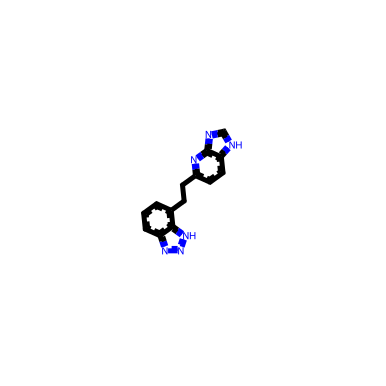 c1cc(CCc2ccc3[nH]cnc3n2)c2[nH]nnc2c1